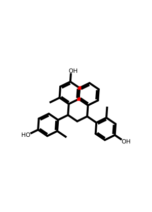 Cc1cc(O)ccc1C(CC(c1ccc(O)cc1C)c1ccc(O)cc1C)c1ccccc1